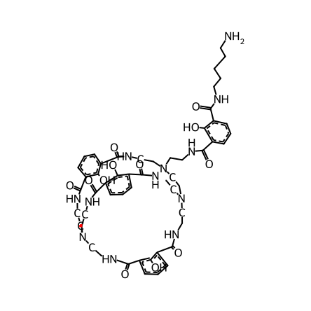 NCCCCCNC(=O)c1cccc(C(=O)NCCN2CCNC(=O)c3cccc(c3O)C(=O)NCCN3CCNC(=O)c4cccc(c4O)C(=O)NCCN(CCNC(=O)c4cccc(c4O)C(=O)NCC3)CC2)c1O